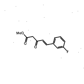 COC(=O)CC(=O)C=Cc1cccc(F)c1